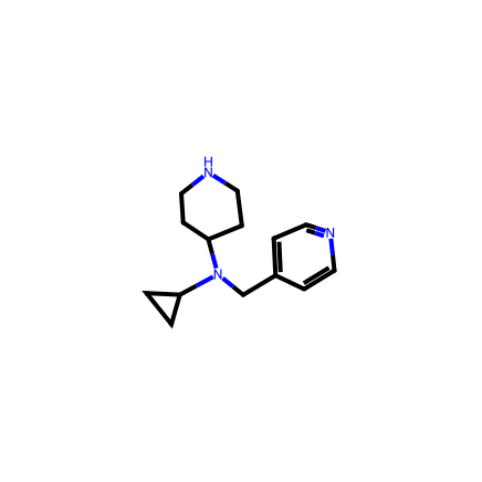 c1cc(CN(C2CCNCC2)C2CC2)ccn1